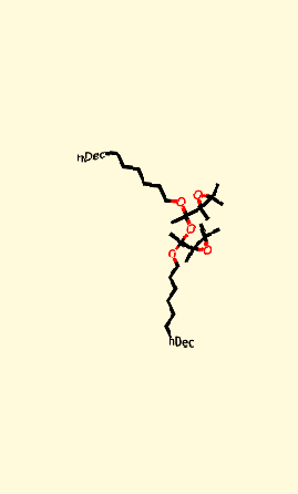 CCCCCCCCCCCCCCCCOC(C)(OC(C)(OCCCCCCCCCCCCCCCC)C1(C)OC1(C)C)C1(C)OC1(C)C